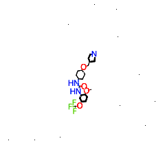 COc1ccc(OC(F)(F)F)cc1NC(=O)NC1CCC(OCc2ccncc2)CC1